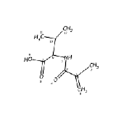 C=C(C)C(=O)NC(C(=O)O)C(C)C